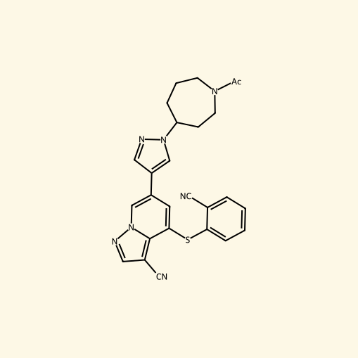 CC(=O)N1CCCC(n2cc(-c3cc(Sc4ccccc4C#N)c4c(C#N)cnn4c3)cn2)CC1